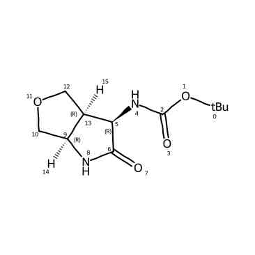 CC(C)(C)OC(=O)N[C@H]1C(=O)N[C@H]2COC[C@H]21